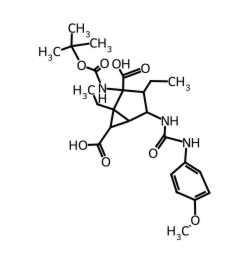 CCC1C(NC(=O)Nc2ccc(OC)cc2)C2C(C(=O)O)C2(CC)C1(NC(=O)OC(C)(C)C)C(=O)O